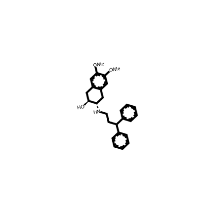 COc1cc2c(cc1OC)C[C@H](O)[C@@H](NCCC(c1ccccc1)c1ccccc1)C2